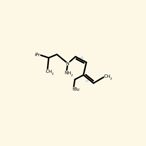 C/C=C(\C=C/N(N)CC(C)C(C)C)CC(C)(C)C